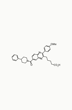 COc1ccc(-c2nc3ccc(C(=O)N4CCC(c5ccccc5)CC4)cc3nc2CCCCC(=O)O)cc1